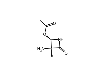 CC(=O)O[C@H]1NC(=O)[C@]1(C)N